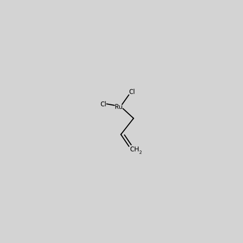 C=C[CH2][Ru]([Cl])[Cl]